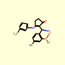 CC[S+]([O-])c1cc(C#N)ccc1C(N)C1=C(Nc2cccc(C(F)(F)F)c2)CCC1=O